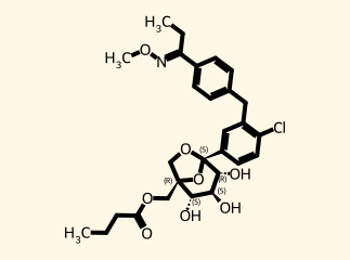 CCCC(=O)OC[C@@]12CO[C@@](c3ccc(Cl)c(Cc4ccc(C(CC)=NOC)cc4)c3)(O1)[C@H](O)[C@@H](O)[C@@H]2O